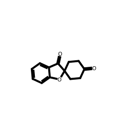 O=C1CCC2(CC1)Oc1ccccc1C2=O